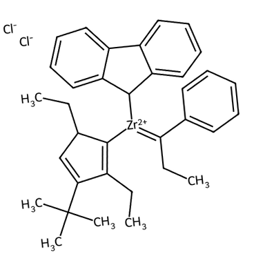 CCC1=[C](/[Zr+2](=[C](\CC)c2ccccc2)[CH]2c3ccccc3-c3ccccc32)C(CC)C=C1C(C)(C)C.[Cl-].[Cl-]